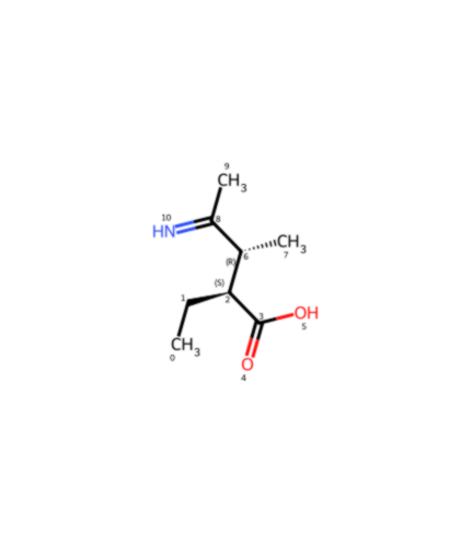 CC[C@H](C(=O)O)[C@@H](C)C(C)=N